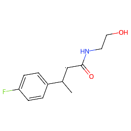 CC([CH]C(=O)NCCO)c1ccc(F)cc1